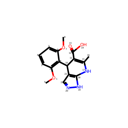 COc1cccc(OC)c1C1C(C(=O)O)=C(C)Nc2[nH]ncc21